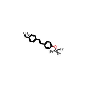 C=Cc1ccc(/C=C/c2ccc(O[Si](C(C)C)(C(C)C)C(C)C)cc2)cc1